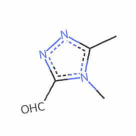 Cc1nnc(C=O)n1C